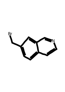 BrCc1ccc2ccncc2c1